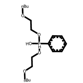 CCCCOCCO[PH](O)(OCCOCCCC)c1ccccc1